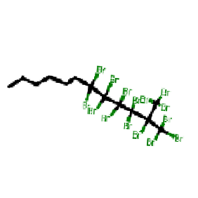 CCCCC[CH]C(Br)(Br)C(Br)(Br)C(Br)(Br)C(Br)(Br)C(Br)(C(Br)(Br)Br)C(Br)(Br)Br